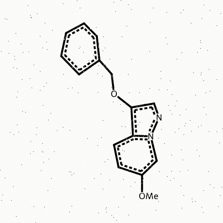 COc1ccc2c(OCc3ccccc3)cnn2c1